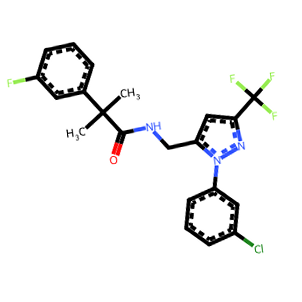 CC(C)(C(=O)NCc1cc(C(F)(F)F)nn1-c1cccc(Cl)c1)c1cccc(F)c1